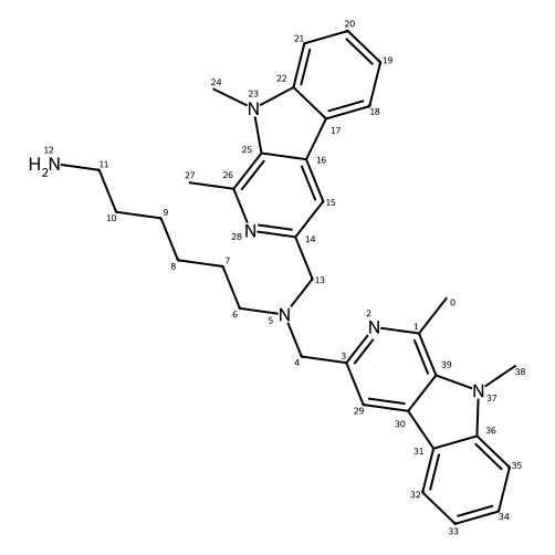 Cc1nc(CN(CCCCCCN)Cc2cc3c4ccccc4n(C)c3c(C)n2)cc2c3ccccc3n(C)c12